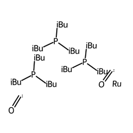 CCC(C)P(C(C)CC)C(C)CC.CCC(C)P(C(C)CC)C(C)CC.CCC(C)P(C(C)CC)C(C)CC.[C]=O.[C]=O.[Ru]